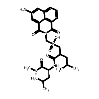 CNC(=O)[C@H](CC(C)C)NC(=O)C(CC(C)C)CP(=O)(O)CN1C(=O)c2cccc3cc(N)cc(c23)C1=O